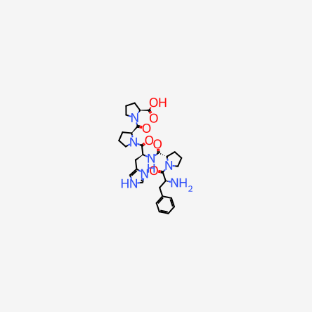 N[C@@H](Cc1ccccc1)C(=O)N1CCC[C@H]1C(=O)N[C@@H](Cc1c[nH]cn1)C(=O)N1CCC[C@H]1C(=O)N1CCC[C@H]1C(=O)O